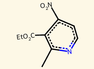 CCOC(=O)c1c([N+](=O)[O-])ccnc1C